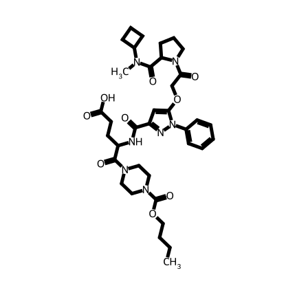 CCCCOC(=O)N1CCN(C(=O)C(CCC(=O)O)NC(=O)c2cc(OCC(=O)N3CCCC3C(=O)N(C)C3CCC3)n(-c3ccccc3)n2)CC1